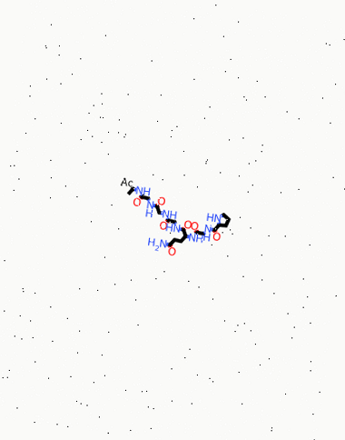 CC(=O)C(C)NC(=O)CNC(=O)CNC(=O)CNC(=O)C(CCC(N)=O)NC(=O)CNC(=O)C1CCCN1